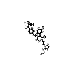 COC[C@@H]1CCCN1CCN1CCc2c(c3cc(F)ccc3n2Cc2ccc(C(=O)NO)cc2)C1=O